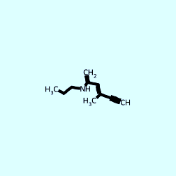 C#C/C(C)=C/C(=C)NCCC